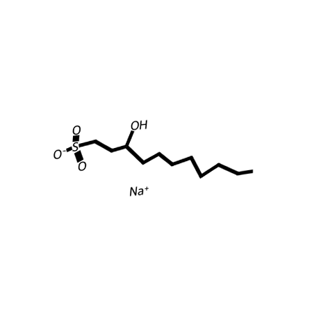 CCCCCCCCC(O)CCS(=O)(=O)[O-].[Na+]